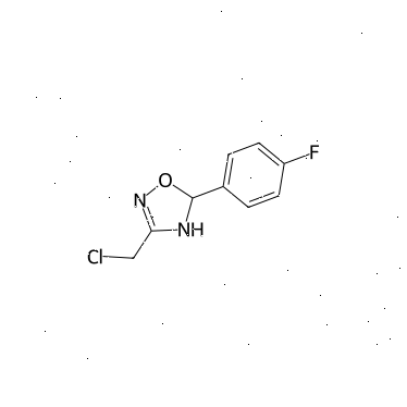 Fc1ccc(C2NC(CCl)=NO2)cc1